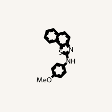 COc1ccc(Nc2nc3ccc4ccccc4c3s2)cc1